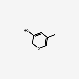 CC1=COCC(O)=C1